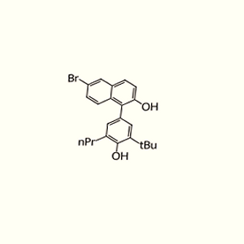 CCCc1cc(-c2c(O)ccc3cc(Br)ccc23)cc(C(C)(C)C)c1O